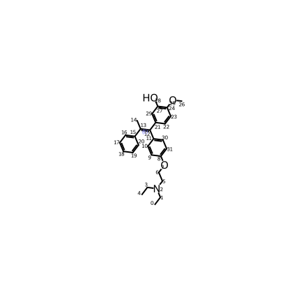 CCN(CC)CCOc1ccc(/C(=C(/C)c2ccccc2)c2ccc(OC)c(O)c2)cc1